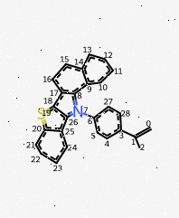 C=C(C)c1ccc(-n2c3c4ccccc4ccc3c3sc4ccccc4c32)cc1